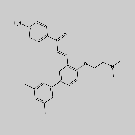 Cc1cc(C)cc(-c2ccc(OCCN(C)C)c(C=CC(=O)c3ccc(N)cc3)c2)c1